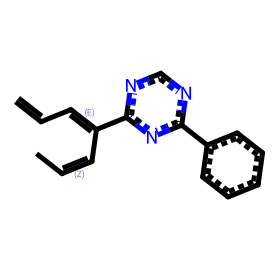 C=C/C=C(\C=C/C)c1ncnc(-c2ccccc2)n1